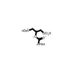 CCCCCCCCCCCC(CS(=O)(=O)O)OC(=O)CCCCCC